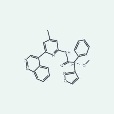 CO[C@](C(=O)Nc1cc(C)cc(-c2cnnc3ccccc23)n1)(c1ccccc1)c1ccon1